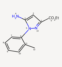 CCOC(=O)c1cc(N)n(-c2ccccc2C)n1